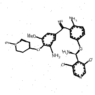 COc1cc(C(=N)c2cc(O[C@H](N)c3c(Cl)cncc3Cl)ccc2N)cc(N)c1OC1CCN(C(C)C)CC1